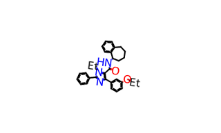 CCOc1cccc(-c2nc(-c3ccccc3)n(CC)c2C(=O)NC2CCCCc3ccccc32)c1